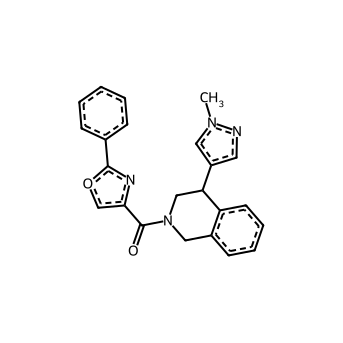 Cn1cc(C2CN(C(=O)c3coc(-c4ccccc4)n3)Cc3ccccc32)cn1